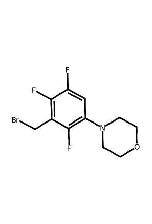 Fc1cc(N2CCOCC2)c(F)c(CBr)c1F